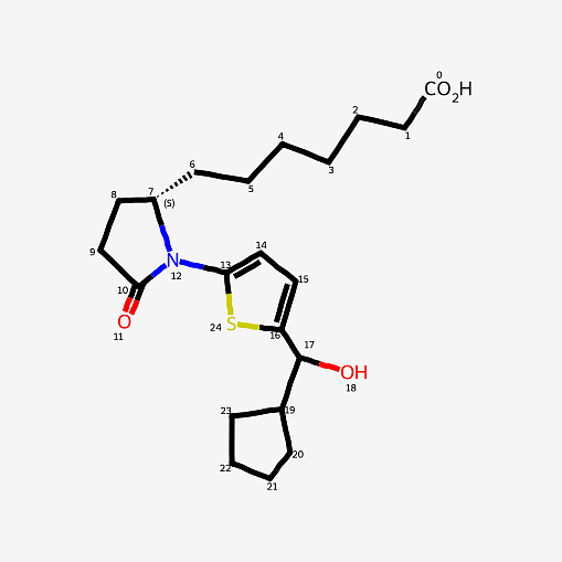 O=C(O)CCCCCC[C@H]1CCC(=O)N1c1ccc(C(O)C2CCCC2)s1